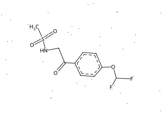 CS(=O)(=O)NCC(=O)c1ccc(OC(F)F)cc1